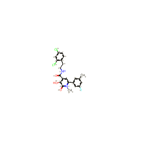 Cc1cc(F)cc(-c2cc(C(=O)NCCc3ccc(Cl)cc3Cl)c(O)c(=O)n2C)c1